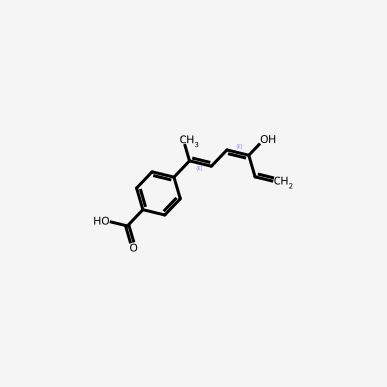 C=C/C(O)=C\C=C(/C)c1ccc(C(=O)O)cc1